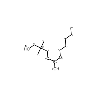 CCCCCOB(O)OCC(C)(C)CO